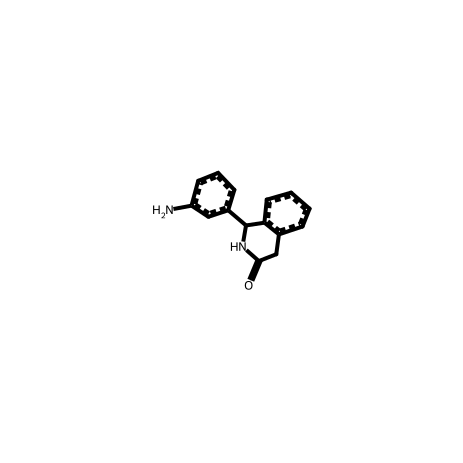 Nc1cccc(C2NC(=O)Cc3ccccc32)c1